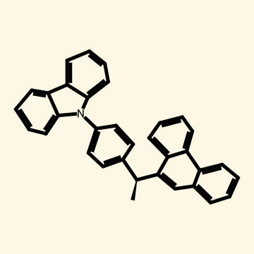 C[C@@H](c1ccc(-n2c3ccccc3c3ccccc32)cc1)c1cc2ccccc2c2ccccc12